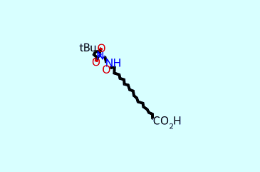 CC(C)(C)C1CC(=O)N(CCNC(=O)CCCCCCCCCCCCCCCCCCC(=O)O)C1=O